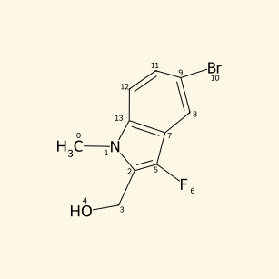 Cn1c(CO)c(F)c2cc(Br)ccc21